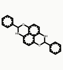 c1ccc(C2Nc3ccc4c5c(ccc(c35)O2)NC(c2ccccc2)O4)cc1